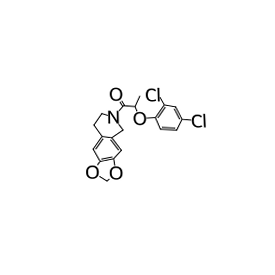 CC(Oc1ccc(Cl)cc1Cl)C(=O)N1CCc2cc3c(cc2C1)OCO3